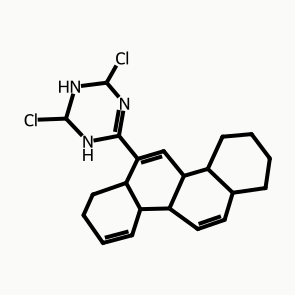 ClC1N=C(C2=CC3C(C=CC4CCCCC43)C3C=CCCC23)NC(Cl)N1